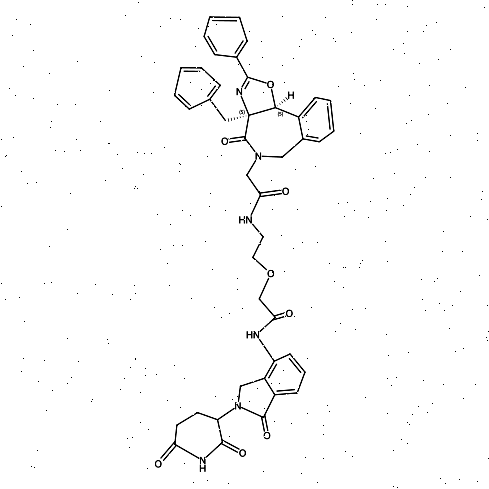 O=C(CN1Cc2ccccc2[C@@H]2OC(c3ccccc3)=N[C@]2(Cc2ccccc2)C1=O)NCCOCC(=O)Nc1cccc2c1CN(C1CCC(=O)NC1=O)C2=O